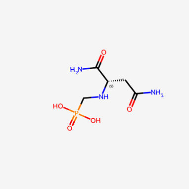 NC(=O)C[C@H](NCP(=O)(O)O)C(N)=O